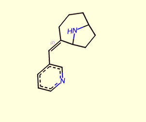 C(=C1\CCCC2CCC1N2)/c1cccnc1